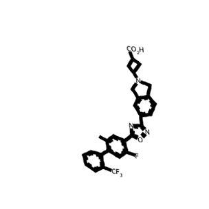 Cc1cc(-c2nc(-c3ccc4c(c3)CN(C3CC(C(=O)O)C3)C4)no2)c(F)cc1-c1ccccc1C(F)(F)F